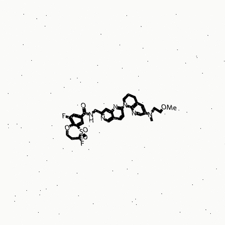 COCCN(C)c1cnc2c(c1)CCCN2c1ccc2cnc(CNC(=O)c3cc(F)c4c(c3)S(=O)(=O)[C@@H](F)CCO4)cc2n1